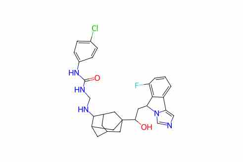 O=C(NCNC1C2CC3CC1CC(C(O)CC1c4c(F)cccc4-c4cncn41)(C3)C2)Nc1ccc(Cl)cc1